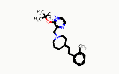 Cc1ccccc1CCC1CCCN(Cc2nccnc2OC(C)(C)C)CC1